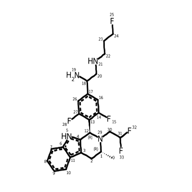 C[C@@H]1Cc2c([nH]c3ccccc23)[C@@H](c2c(F)cc(C(N)CNCCCF)cc2F)N1CC(F)F